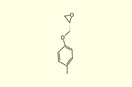 Ic1ccc(OC[C@@H]2CO2)cc1